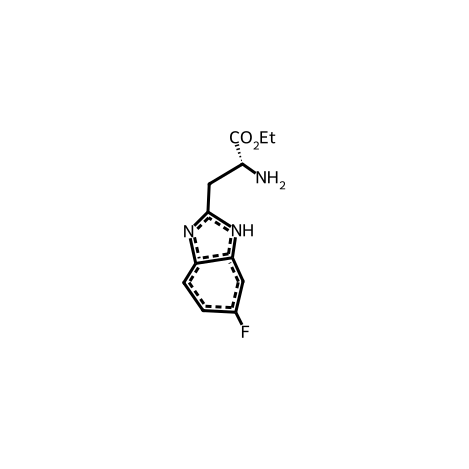 CCOC(=O)[C@H](N)Cc1nc2ccc(F)cc2[nH]1